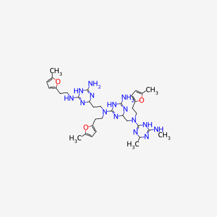 CNC1=NC(C)N=C(N(CCc2ccc(C)o2)CC2N=C(N)NC(N(CCc3ccc(C)o3)CCC3N=C(N)NC(NCCc4ccc(C)o4)=N3)=N2)N1